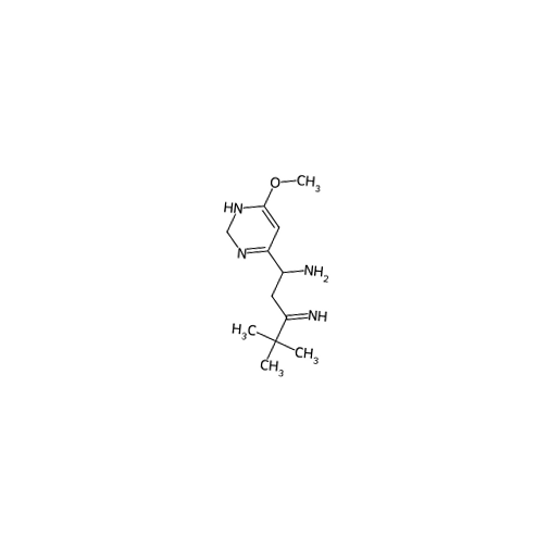 COC1=CC(C(N)CC(=N)C(C)(C)C)=NCN1